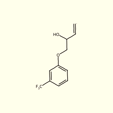 [CH]=CC(O)COc1cccc(C(F)(F)F)c1